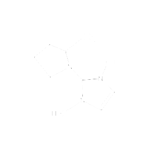 CN1C=CN(C)C1N1CCCC1C(=O)O